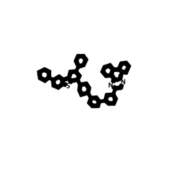 c1ccc(-c2ccc3sc4c(-c5ccc(-c6cccc(-c7cccc(-c8cnc9c%10ccccc%10c%10ccccc%10c9n8)c7)c6)cc5)cc(-c5ccccc5)cc4c3c2)cc1